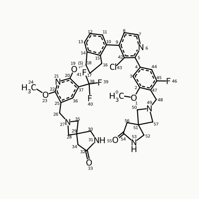 COc1cc(-c2nccc(-c3cccc4c3CC[C@@H]4Oc3nc(OC)c(CN4CC5(CNC(=O)C5)C4)cc3C(F)(F)F)c2Cl)cc(F)c1CN1CC2(CNC(=O)C2)C1